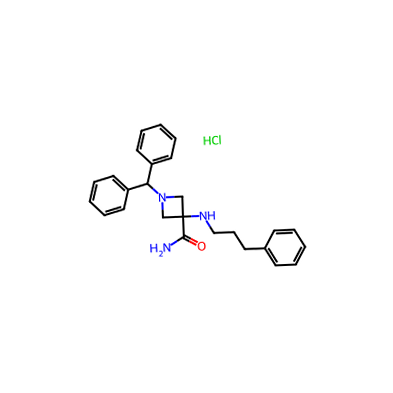 Cl.NC(=O)C1(NCCCc2ccccc2)CN(C(c2ccccc2)c2ccccc2)C1